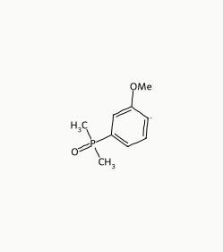 COc1[c]ccc(P(C)(C)=O)c1